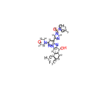 Cc1c(Cc2c(CO)nc3c(-c4cn([S+]([O-])N(C)C)cn4)cc(N4CCOCC4)nn23)cccc1C(F)(F)F